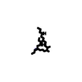 CC/C=C(\CCCC(C)C(C)CCCCCNCCC)CNOCC